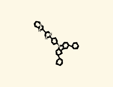 c1ccc(-c2ccc3c(c2)c2cc(-c4ccccc4)ccc2n3-c2ccc(-c3ncc(-c4cn5ccccc5n4)cn3)cc2)cc1